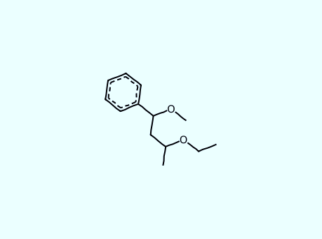 CCOC(C)CC(OC)c1ccccc1